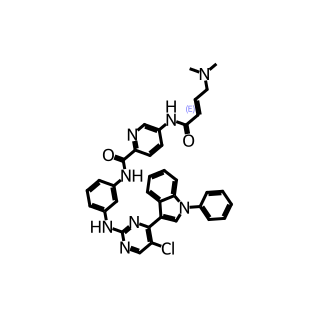 CN(C)C/C=C/C(=O)Nc1ccc(C(=O)Nc2cccc(Nc3ncc(Cl)c(-c4cn(-c5ccccc5)c5ccccc45)n3)c2)nc1